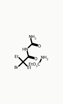 CCC(Br)(CC)C(=O)NC(N)=O.CCOC(N)=O